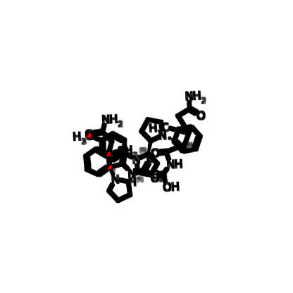 Cc1ccc(N2[C@@H](C3CCCN3[C@@]3(C(=O)NC(=O)O)c4ccc(cc4)C3(C)CC(N)=O)CC[C@@H]2C2CCCN2[C@@]2(C(=O)NC(=O)O)c3ccc(cc3)C2(C)CC(N)=O)cc1